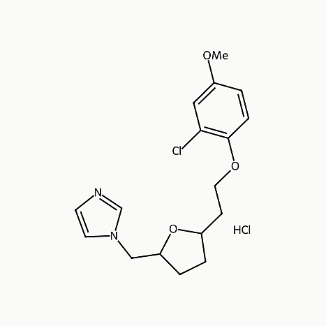 COc1ccc(OCCC2CCC(Cn3ccnc3)O2)c(Cl)c1.Cl